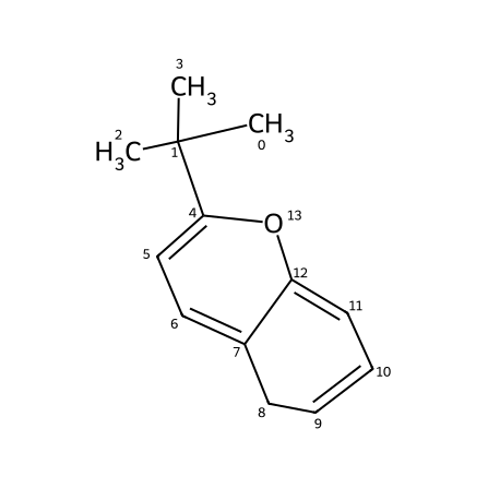 CC(C)(C)C1=CC=C2CC=CC=C2O1